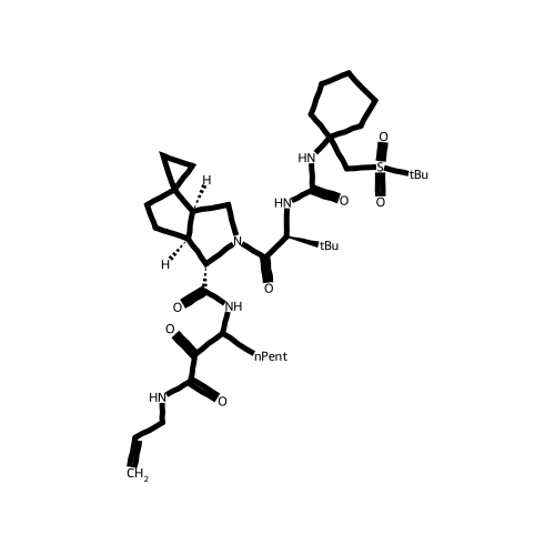 C=CCNC(=O)C(=O)C(CCCCC)NC(=O)[C@@H]1[C@H]2CCC3(CC3)[C@H]2CN1C(=O)[C@@H](NC(=O)NC1(CS(=O)(=O)C(C)(C)C)CCCCC1)C(C)(C)C